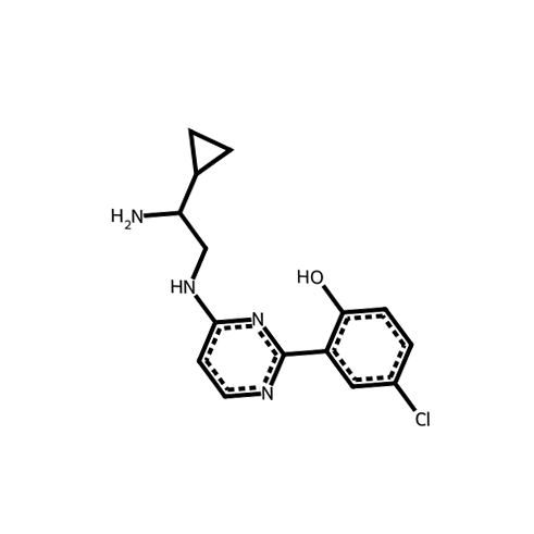 NC(CNc1ccnc(-c2cc(Cl)ccc2O)n1)C1CC1